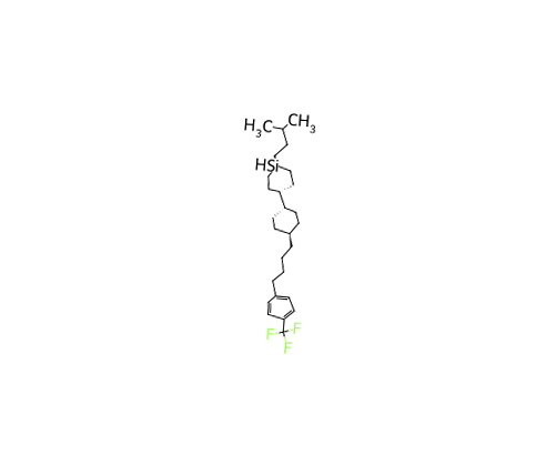 CC(C)CC[Si@H]1CC[C@H]([C@H]2CC[C@H](CCCCc3ccc(C(F)(F)F)cc3)CC2)CC1